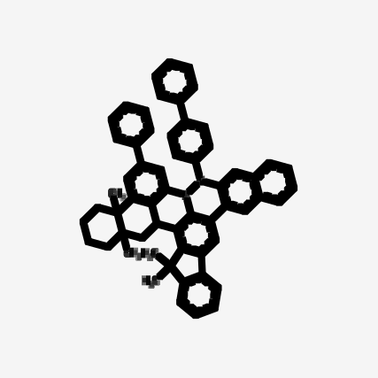 CC1(C)c2ccccc2-c2cc3c4c(c21)C1CC2(C)CCCCC2(C)c2cc(-c5ccccc5)cc(c21)B4N(c1ccc(-c2ccccc2)cc1)c1cc2ccccc2cc1-3